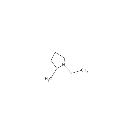 [CH2]CN1CCCC1C